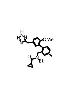 CCN(Cc1cc(C)ccc1-c1cc(Cc2nn[nH]n2)ccc1OC)C(=O)C1CC1